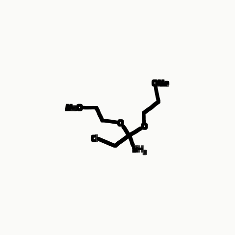 COCCOC([SiH3])(CCl)OCCOC